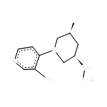 C[C@H]1C[C@@H](NC(=O)O)CN(c2ccncc2[N+](=O)[O-])C1